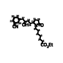 CCOC(=O)CCCCCCN1C(=O)CC[C@@H]1CC[C@@H](O)Cc1cccc(C#N)c1